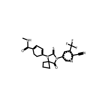 CNC(=O)C1=CC=C(N2C(=S)N(c3cnc(C#N)c(C(F)(F)F)c3)C(=O)C23CCC3)CC1